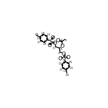 CC(=O)OC(COS(=O)(=O)c1ccc(C)cc1)COS(=O)(=O)c1ccc(C)cc1